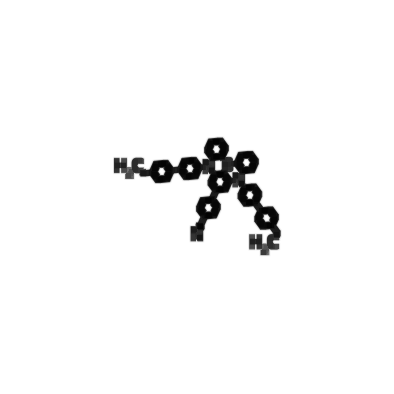 C=Cc1ccc(-c2ccc(N3c4ccccc4B4c5ccccc5N(c5ccc(-c6ccc(C=C)cc6)cc5)c5cc(-c6ccc(C#N)cc6)cc3c54)cc2)cc1